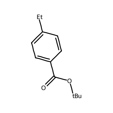 CCc1ccc(C(=O)OC(C)(C)C)cc1